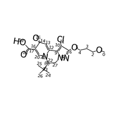 COCCCOc1nn2c(c1Cl)-c1cc(=O)c(C(=O)O)cn1[C@H](C(C)(C)C)C2